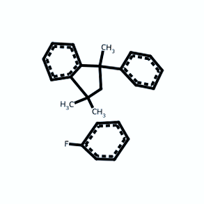 CC1(C)CC(C)(c2ccccc2)c2ccccc21.Fc1ccccc1